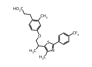 Cc1cc(OCC(C)c2sc(-c3ccc(C(F)(F)F)cc3)nc2C)ccc1CCC(=O)O